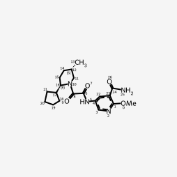 COc1ncc(NC(=O)C(=O)N2C[C@@H](C)CC[C@@H]2C2CCCC2)cc1C(N)=O